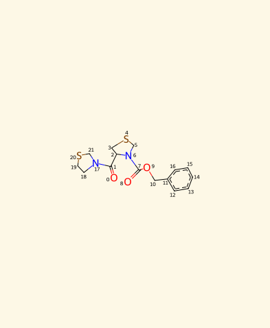 O=C(C1CSCN1C(=O)OCc1ccccc1)N1CCSC1